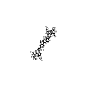 CCC(C)C(NC(=O)O)C(=O)N1C[C@@H](COC)C[C@H]1c1ncc(-c2ccc3c(c2)COc2cc4c(ccc5nc([C@@H]6C[C@H](COC)CN6C(=O)C(NC(=O)OC)C(C)CC)[nH]c54)cc2-3)[nH]1